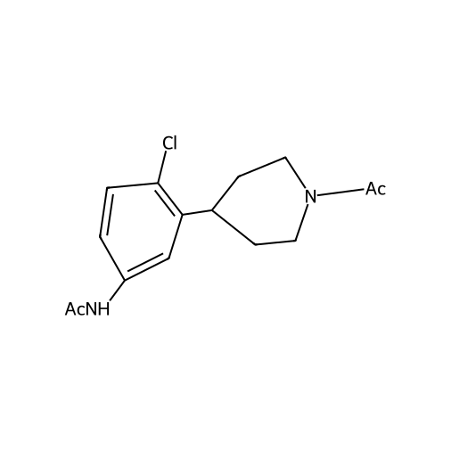 CC(=O)Nc1ccc(Cl)c(C2CCN(C(C)=O)CC2)c1